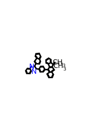 CC1(C)c2ccccc2-c2c1cc1ccccc1c2-c1ccc(-c2nc3ccccc3nc2-c2ccc3ccccc3c2)cc1